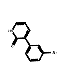 CC(C)(C)c1cccc(-c2ccc[nH]c2=O)c1